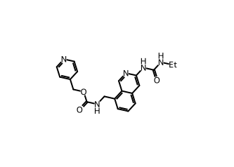 CCNC(=O)Nc1cc2cccc(CNC(=O)OCc3ccncc3)c2cn1